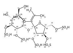 CC(C)=C(OS(=O)(=O)O)[C@@]1(O[C@H]2O[C@H](CO)[C@@H](O)[C@H](OS(=O)(=O)O)[C@H]2OS(=O)(=O)O)O[C@H](COS(=O)(=O)O)[C@@H](OS(=O)(=O)O)[C@@H]1OS(=O)(=O)O